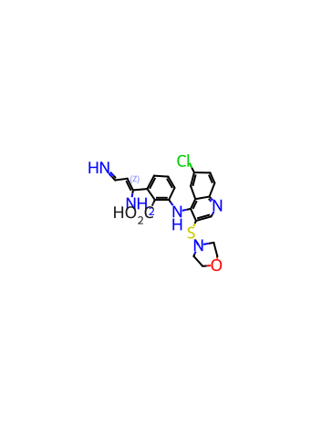 N=C/C=C(\N)c1cccc(Nc2c(SN3CCOCC3)cnc3ccc(Cl)cc23)c1C(=O)O